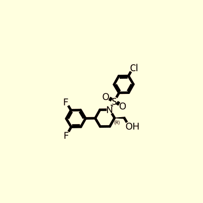 O=S(=O)(c1ccc(Cl)cc1)N1CC(c2cc(F)cc(F)c2)CC[C@@H]1CO